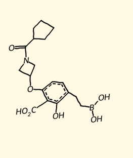 O=C(O)c1c(OC2CN(C(=O)C3CCCC3)C2)ccc(CCB(O)O)c1O